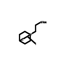 CCCCCCCC[N+]12CCC(CC1)CC2I